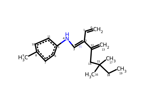 C=C/C(=C\Nc1ccc(C)cc1)C(=C)CC(C)(C)CC